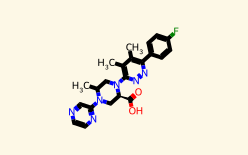 Cc1c(-c2ccc(F)cc2)nnc(N2CC(C)N(c3cnccn3)C[C@@H]2C(=O)O)c1C